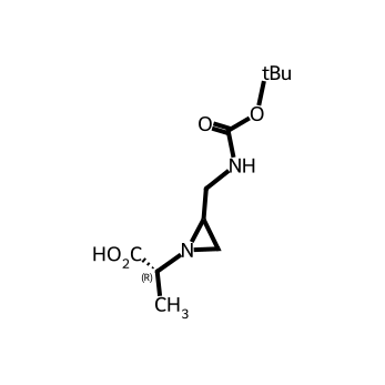 C[C@H](C(=O)O)N1CC1CNC(=O)OC(C)(C)C